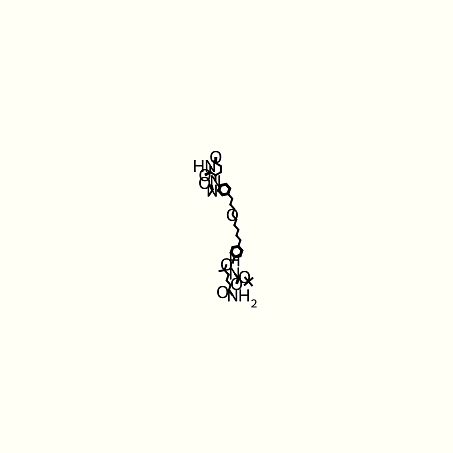 CC(OCc1ccc(CCCCCOCCCc2ccc3c(c2)n(C)c(=O)n3C2CCC(=O)NC2=O)cc1)C(CCC(N)=O)NC(=O)OC(C)(C)C